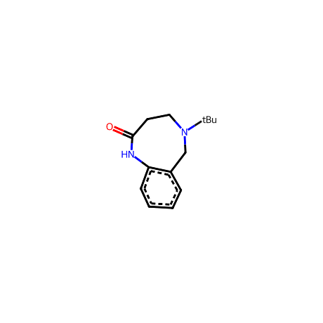 CC(C)(C)N1CCC(=O)Nc2ccccc2C1